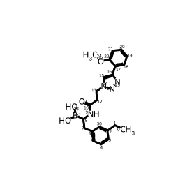 CCc1cccc(CC(NC(=O)CCn2cc(-c3ccccc3OC)nn2)B(O)O)c1